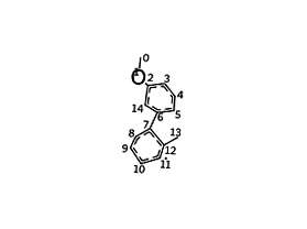 COc1cccc(-c2ccc[c]c2C)c1